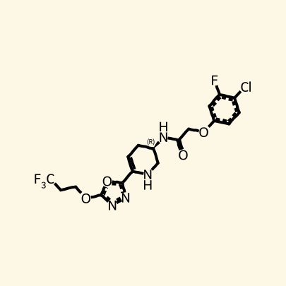 O=C(COc1ccc(Cl)c(F)c1)N[C@@H]1CC=C(c2nnc(OCCC(F)(F)F)o2)NC1